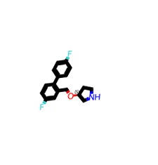 Fc1ccc(-c2ccc(F)cc2CO[C@H]2CCNC2)cc1